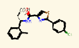 Cc1ccccc1[C@H](CC(=O)O)NC(=O)c1csc(-c2ccc(Cl)cc2)n1